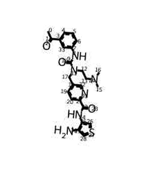 CC(=O)c1cccc(NC(=O)N(CCN(C)C)Cc2ccc(C(=O)Nc3cscc3N)nc2)c1